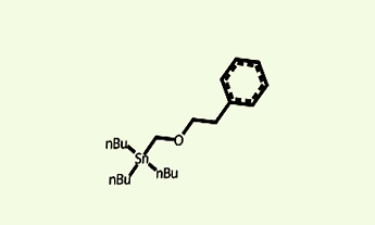 CCC[CH2][Sn]([CH2]CCC)([CH2]CCC)[CH2]OCCc1ccccc1